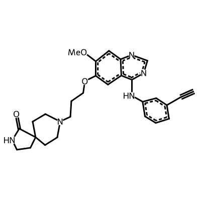 C#Cc1cccc(Nc2ncnc3cc(OC)c(OCCCN4CCC5(CCNC5=O)CC4)cc23)c1